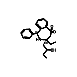 CCC(O)C[C@@]1(CC)CS(=O)(=O)c2ccccc2[C@H](c2ccccc2)N1